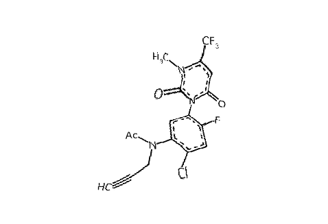 C#CCN(C(C)=O)c1cc(-n2c(=O)cc(C(F)(F)F)n(C)c2=O)c(F)cc1Cl